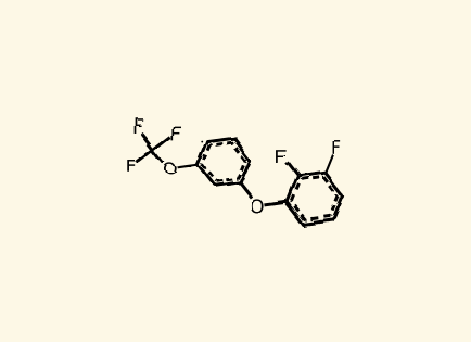 Fc1cccc(Oc2cc[c]c(OC(F)(F)F)c2)c1F